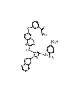 CNC(=O)c1cc(Oc2ccc(NC(=O)Nc3cc(C(C)(C)C)nn3-c3ccc4ncccc4c3)c(F)c2)ccn1.Cc1ccc(S(=O)(=O)O)cc1